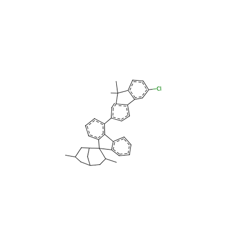 CC1CC2CC(C)C3(c4ccccc4-c4c(-c5ccc6c(c5)C(C)(C)c5ccc(Cl)cc5-6)cccc43)C(C1)C2